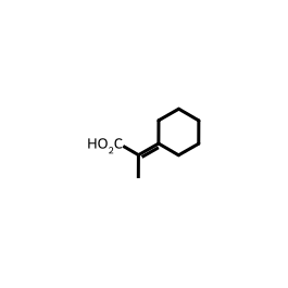 CC(C(=O)O)=C1CCCCC1